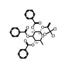 C=C(O[C@@H]1OC(C)[C@H](OC(=O)c2ccccc2)C(OC(=O)c2ccccc2)[C@@H]1OC(=O)c1ccccc1)C(Cl)(Cl)Cl